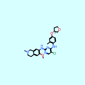 COc1cc2c(cc1Nc1ncc(Cl)c(Nc3ccc(O[C@H]4CCOC4)cc3C)n1)CN(C)CC2